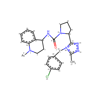 CC(=O)N1CCC(NC(=O)N2CCCC2c2nnc(C)n2Cc2ccc(Cl)cc2)c2ccccc21